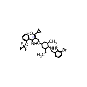 CCC1CC(OC/C(C(=N)c2ccccc2OC(F)(F)F)=C(/O)C2CC2)CC(C)C1NCc1cccc(Br)c1F